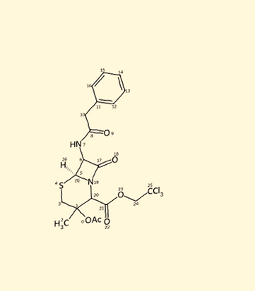 CC(=O)OC1(C)CS[C@H]2C(NC(=O)Cc3ccccc3)C(=O)N2C1C(=O)OCC(Cl)(Cl)Cl